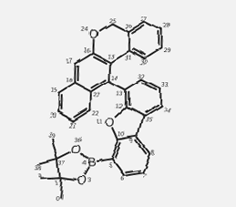 CC1(C)OB(c2cccc3c2oc2c(-c4c5c(cc6ccccc46)OCc4ccccc4-5)cccc23)OC1(C)C